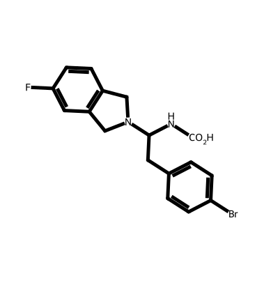 O=C(O)NC(Cc1ccc(Br)cc1)N1Cc2ccc(F)cc2C1